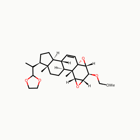 COCO[C@H]1[C@@H]2O[C@@H]2[C@]2(C)[C@H]3CC[C@]4(C)[C@@H](C(C)C5OCCO5)CC[C@H]4[C@@H]3C=C[C@]23O[C@H]13